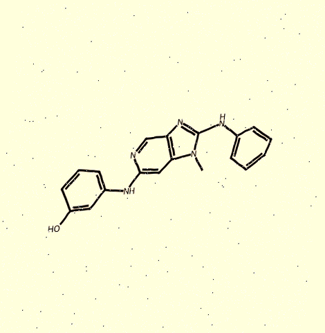 Cn1c(Nc2ccccc2)nc2cnc(Nc3cccc(O)c3)cc21